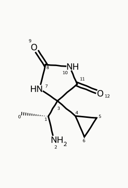 C[C@@H](N)C1(C2CC2)NC(=O)NC1=O